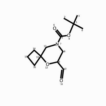 CC(C)(C)OC(=O)N1CC(C=O)OC2(CCC2)C1